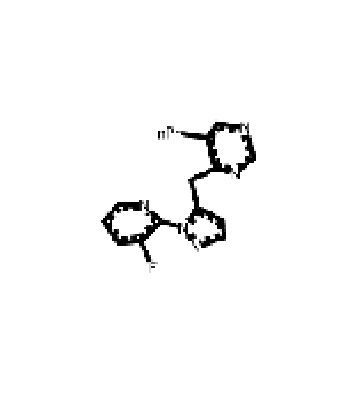 CCCc1cncnc1Cc1ccnn1-c1ncccc1F